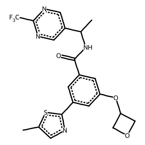 Cc1cnc(-c2cc(OC3COC3)cc(C(=O)NC(C)c3cnc(C(F)(F)F)nc3)c2)s1